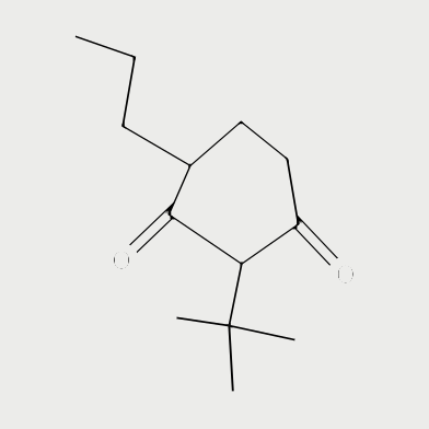 CCCC1CCC(=O)C(C(C)(C)C)C1=O